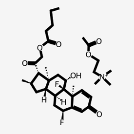 CC(=O)OCC[N+](C)(C)C.CCCCC(=O)OCC(=O)[C@H]1[C@H](C)C[C@H]2[C@@H]3C[C@H](F)C4=CC(=O)C=C[C@]4(C)[C@@]3(F)[C@@H](O)C[C@@]21C